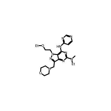 CCOCCn1nc(CN2CCOCC2)c2nc(N(C)CC)nc(Nc3ccncn3)c21